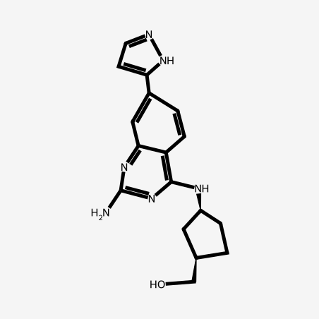 Nc1nc(N[C@H]2CC[C@@H](CO)C2)c2ccc(-c3ccn[nH]3)cc2n1